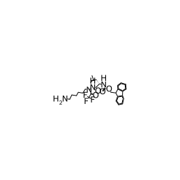 CC(C)C[C@H](NC(=O)OCC1c2ccccc2-c2ccccc21)C(=O)NN(CCCCCCN)C(=O)C(F)(F)F